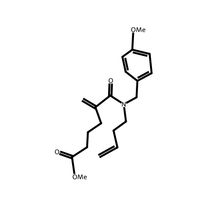 C=CCCN(Cc1ccc(OC)cc1)C(=O)C(=C)CCCC(=O)OC